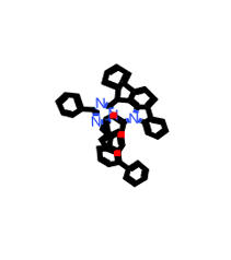 c1ccc(-c2cccc(-c3cccc(-n4c5ccccc5c5ccc6c(c54)C(c4nc(-c5ccccc5)nc(-c5ccccc5)n4)c4ccccc4-6)c3)c2)cc1